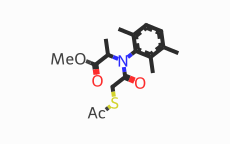 COC(=O)C(C)N(C(=O)CSC(C)=O)c1c(C)ccc(C)c1C